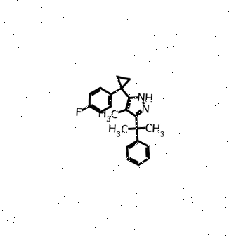 Cc1c(C(C)(C)c2ccccc2)n[nH]c1C1(c2ccc(F)cc2)CC1